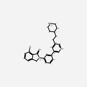 O=C1c2c(Cl)cccc2CN1c1cccc(-c2cncc(CCC3CCNCC3)c2)c1